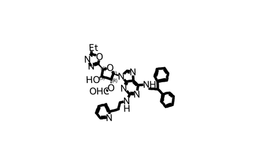 CCc1nnc([C@H]2O[C@@H](n3cnc4c(NCC(c5ccccc5)c5ccccc5)nc(NCCc5ccccn5)nc43)[C@H](OC=O)[C@@H]2O)o1